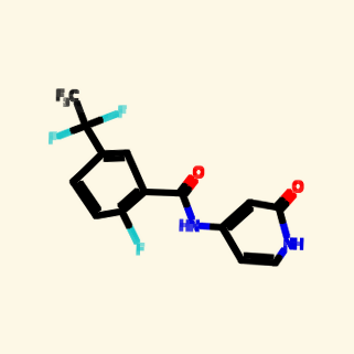 O=C(Nc1cc[nH]c(=O)c1)c1cc(C(F)(F)C(F)(F)F)ccc1F